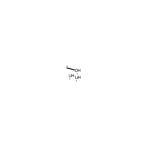 CO.[LiH].[LiH]